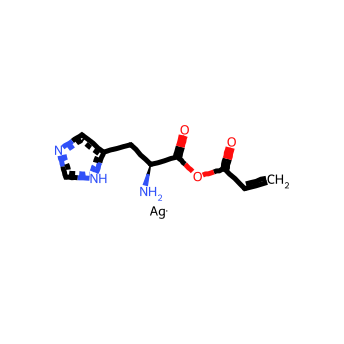 C=CC(=O)OC(=O)[C@@H](N)Cc1cnc[nH]1.[Ag]